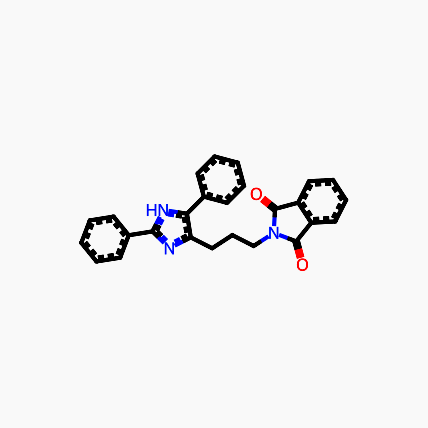 O=C1c2ccccc2C(=O)N1CCCc1nc(-c2ccccc2)[nH]c1-c1ccccc1